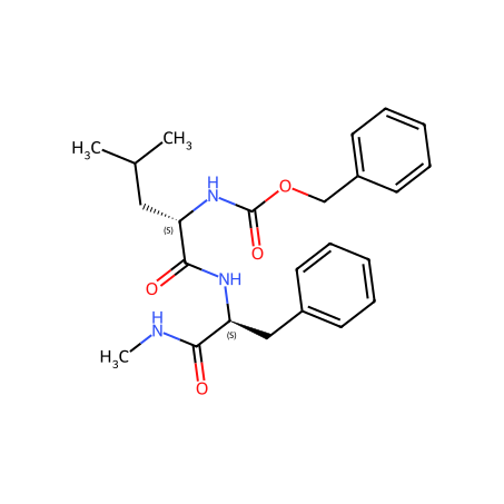 CNC(=O)[C@H](Cc1ccccc1)NC(=O)[C@H](CC(C)C)NC(=O)OCc1ccccc1